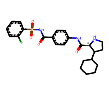 O=C(NS(=O)(=O)c1ccccc1F)c1ccc(NC(=O)[C@H]2NCCC2C2CCCCC2)cc1